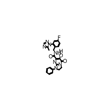 Cc1ncnn1-c1cc(F)ccc1CNC(=O)c1nc2n(c(=O)c1O)CCN2c1ccccc1